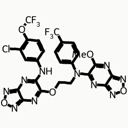 COc1nc2nonc2nc1N(CCOc1nc2nonc2nc1Nc1ccc(OC(F)(F)F)c(Cl)c1)c1ccc(C(F)(F)F)cc1